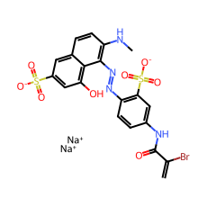 C=C(Br)C(=O)Nc1ccc(N=Nc2c(NC)ccc3cc(S(=O)(=O)[O-])cc(O)c23)c(S(=O)(=O)[O-])c1.[Na+].[Na+]